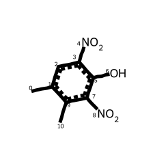 Cc1cc([N+](=O)[O-])c(O)c([N+](=O)[O-])c1C